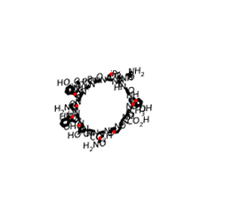 CCCC[C@H]1C(=O)N(C)[C@@H](CCCC)C(=O)N[C@@H](CC(C)C)C(=O)N[C@H](C(=O)NCC(N)=O)CNCC(=O)N[C@@H](Cc2ccc(O)cc2)C(=O)N(C)[C@@H](C)C(=O)N[C@@H](CC(=O)O)C(=O)N2CCC[C@H]2C(=O)N[C@@H](CCC(N)=O)C(=O)N[C@@H](CC(=O)O)C(=O)N2C[C@H](O)CC2(C=O)N[C@@H](Cc2c[nH]c3ccccc23)C(=O)N[C@@H](CC(N)=O)C(=O)N[C@@H](Cc2cn(CC(=O)O)c3ccccc23)C(=O)N1C